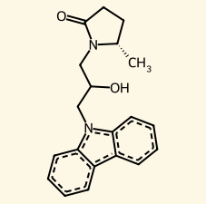 C[C@H]1CCC(=O)N1CC(O)Cn1c2ccccc2c2ccccc21